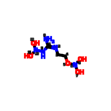 NC(=NCCON(O)O)NN(O)O